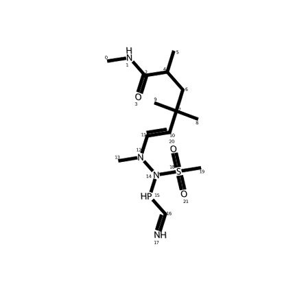 CNC(=O)C(C)CC(C)(C)/C=C/N(C)N(PC=N)S(C)(=O)=O